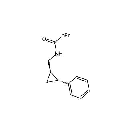 CCCC(=O)NC[C@@H]1C[C@H]1c1ccccc1